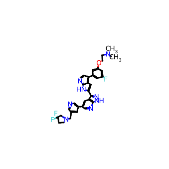 CN(C)CCOc1cc(F)cc(-c2ccnc3[nH]c(-c4n[nH]c5ncc(-c6cncc(CN7CCC(F)(F)C7)c6)cc45)cc23)c1